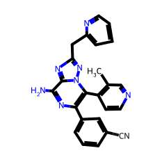 Cc1cnccc1-c1c(-c2cccc(C#N)c2)nc(N)c2nc(Cc3ccccn3)nn12